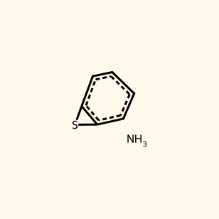 N.c1ccc2c(c1)S2